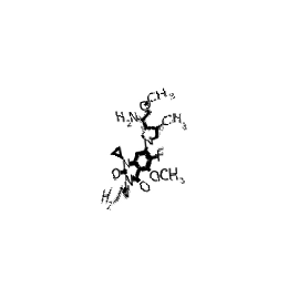 COC[C@@H](N)[C@H]1CN(c2cc3c(c(OC)c2F)c(=O)n(N)c(=O)n3C2CC2)C[C@@H]1C